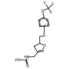 O=C(O)NCC1=NOC(COc2ccc(OC(F)(F)F)cc2)C1